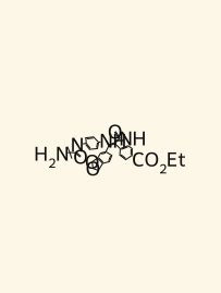 CCOC(=O)c1ccc2c(c1)NC(=O)/C2=C(\Nc1ccc(N(C)C(=O)C(C)(C)N)cc1)c1ccc2c(c1)OOC2